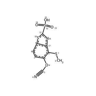 CSc1c(OC#N)ccc2sc(S(=O)(=O)O)nc12